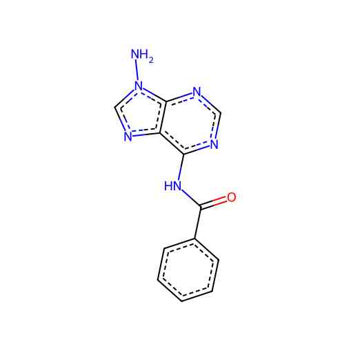 Nn1cnc2c(NC(=O)c3ccccc3)ncnc21